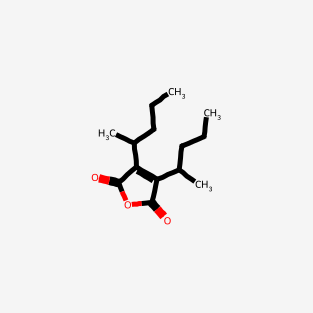 CCCC(C)C1=C(C(C)CCC)C(=O)OC1=O